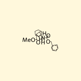 COC(=O)[C@@H]1C2C=CC(CC2)[C@H]1NC(=O)OCc1ccccc1